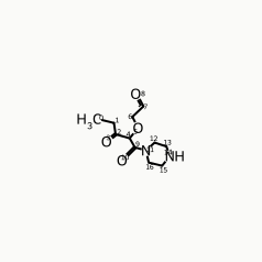 CCC(=O)C(OC[C]=O)C(=O)N1CCNCC1